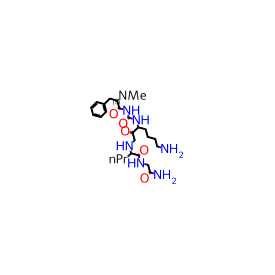 CCCC(NCC(=O)C(CCCCN)NC(=O)NC(=O)[C@H](Cc1ccccc1)NC)C(=O)NCC(N)=O